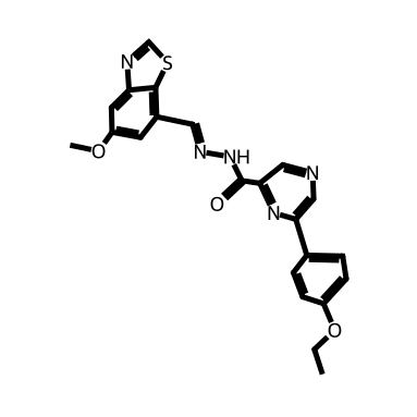 CCOc1ccc(-c2cncc(C(=O)NN=Cc3cc(OC)cc4ncsc34)n2)cc1